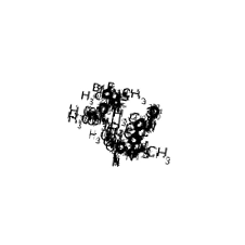 CSc1nc2c(F)c(-c3c(C)c(C)cc4c3cnn4C3CCCCO3)c(C)cc2c2c1cnn2[C@H]1CCN(C(=O)OC(C)(C)C)[C@H](CC#N)C1.CSc1nc2c(F)c(Br)c(C)cc2c2c1cnn2[C@H]1CCN(C(=O)OC(C)(C)C)[C@H](CC#N)C1